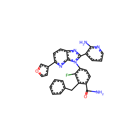 NC(=O)c1ccc(-n2c(-c3cccnc3N)nc3ccc(-c4ccoc4)nc32)c(F)c1Cc1ccccc1